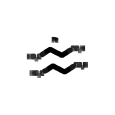 O=C(O)CCC(=O)O.O=C(O)CCC(=O)O.[Pt]